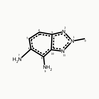 Cn1nc2ccc(N)c(N)c2n1